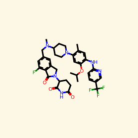 Cc1cc(Nc2ccc(C(F)(F)F)cn2)c(OC(C)C)cc1N1CCC(N(C)Cc2cc(F)c3c(c2)CN(C2CCC(=O)NC2=O)C3=O)CC1